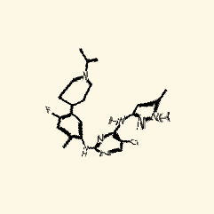 Cc1cc(Nc2nc(Nc3cc(C4CCN(C(C)C)CC4)c(F)cc3C)ncc2Cl)n[nH]1